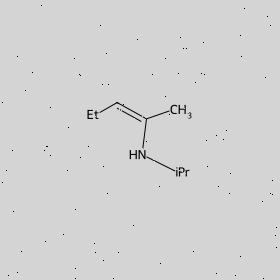 CC/C=C(/C)NC(C)C